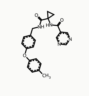 Cc1ccc(Oc2ccc(CNC(=O)C3(NC(=O)c4cncnc4)CC3)cc2)cc1